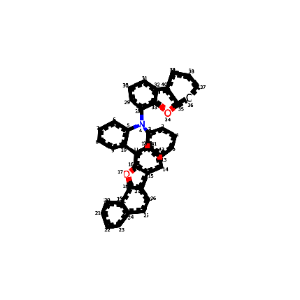 c1ccc(N(c2ccccc2-c2cccc3c2oc2c4ccccc4ccc32)c2cccc3c2oc2ccccc23)cc1